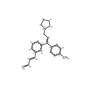 Cc1ccc(C(=CCN2CCCC2)c2cccc(C=CC=O)n2)cc1